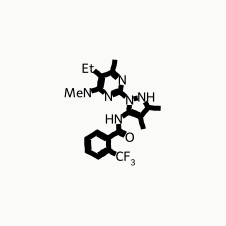 CCc1c(C)nc(N2NC(C)C(C)=C2NC(=O)c2ccccc2C(F)(F)F)nc1NC